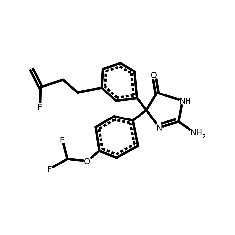 C=C(F)CCc1cccc(C2(c3ccc(OC(F)F)cc3)N=C(N)NC2=O)c1